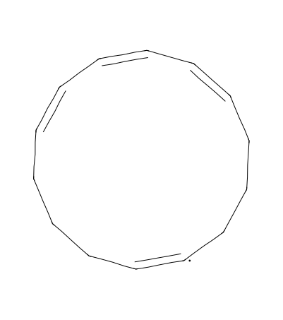 [C]1=CCCCC=CC=CC=CCCC1